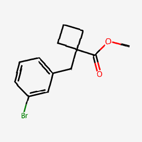 COC(=O)C1(Cc2cccc(Br)c2)CCC1